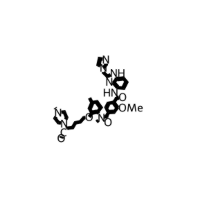 COc1cc(C(=O)N(C)c2ccc(C)cc2OCCCCC(=C=O)N2CCN(C)CC2)ccc1C(=O)Nc1cccc2[nH]c(Cn3ccnc3)nc12